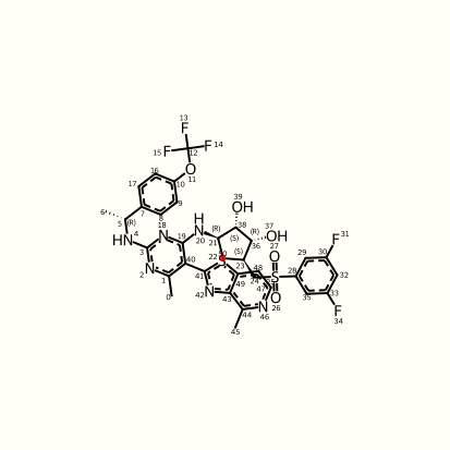 Cc1nc(N[C@H](C)c2ccc(OC(F)(F)F)cc2)nc(N[C@@H]2C[C@H](CS(=O)(=O)c3cc(F)cc(F)c3)[C@@H](O)[C@H]2O)c1-c1nc2c(C)nccc2s1